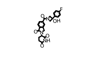 O=C1CCC(N2Cc3cc(C(=O)N4CC(O)(c5ccc(F)cc5)C4)ccc3C2=O)C(=O)N1